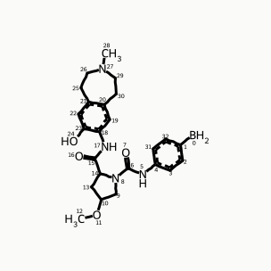 Bc1ccc(NC(=O)N2CC(OC)CC2C(=O)Nc2cc3c(cc2O)CCN(C)CC3)cc1